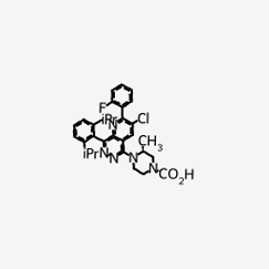 CC(C)c1cccc(C(C)C)c1-c1nnc(N2CCN(C(=O)O)C[C@@H]2C)c2cc(Cl)c(-c3ccccc3F)nc12